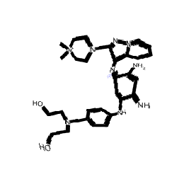 C[N+]1(C)CCN(c2nn3ccccc3c2/N=C2/C=C(Nc3ccc(N(CCO)CCO)cc3)C(=N)C=C2N)CC1